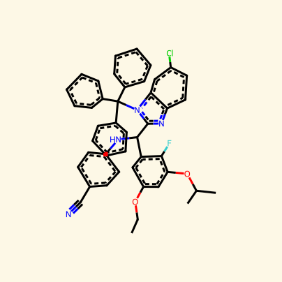 CCOc1cc(OC(C)C)c(F)c(C(Nc2ccc(C#N)cc2)c2nc3ccc(Cl)cc3n2C(c2ccccc2)(c2ccccc2)c2ccccc2)c1